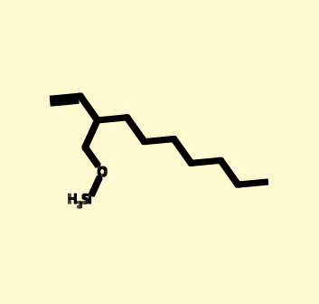 C=CC(CCCCCCC)CO[SiH3]